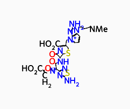 C=C(O/N=C(\C(=O)NC1C(=O)N2C(C(=O)O)=C(C[n+]3cccc4c3nc(N)n4CCCNC)CSC12)c1nsc(N)n1)C(=O)O